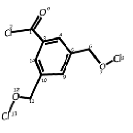 O=C(Cl)c1cc(COCl)cc(COCl)c1